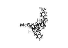 COc1cc(Nc2nc3ccccc3nc2NS(=O)(=O)c2cccc(NC(=O)c3ccc(N(C)C)cc3)c2)cc(OC)c1